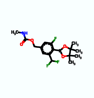 CNC(=O)OCc1cc(F)c(B2OC(C)(C)C(C)(C)O2)c(C(F)F)c1